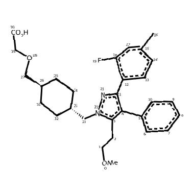 COCCc1c(-c2ccccc2)c(-c2ccc(C)cc2F)nn1C[C@H]1CC[C@H](COCC(=O)O)CC1